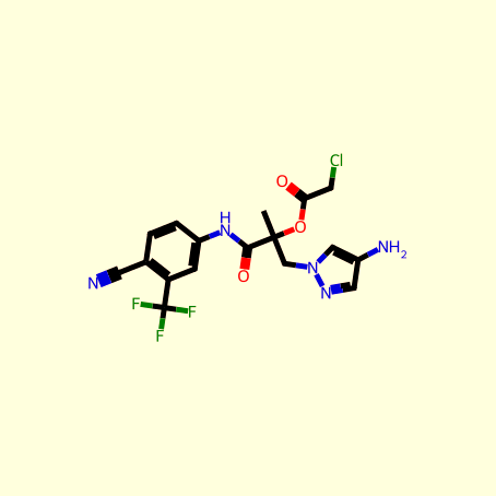 CC(Cn1cc(N)cn1)(OC(=O)CCl)C(=O)Nc1ccc(C#N)c(C(F)(F)F)c1